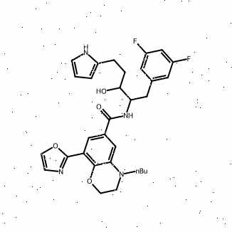 CCCCN1CCOc2c(-c3ncco3)cc(C(=O)NC(Cc3cc(F)cc(F)c3)C(O)CCc3ccc[nH]3)cc21